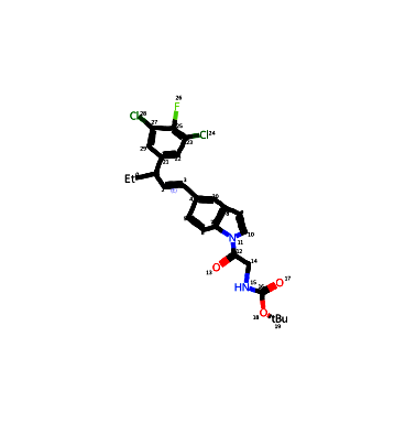 CCC(/C=C/c1ccc2c(ccn2C(=O)CNC(=O)OC(C)(C)C)c1)c1cc(Cl)c(F)c(Cl)c1